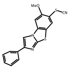 COc1cc2c(cc1SC#N)sc1nc(-c3ccccc3)cn12